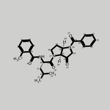 Cc1ccccc1C(=O)N[C@@H](CC(C)C)C(=O)N1CC[C@@H]2[C@H]1C(=O)CN2C(=O)c1ccccc1